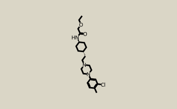 CCOCC(=O)N[C@H]1CC[C@H](CCN2CCN(c3ccc(C)c(Cl)c3)CC2)CC1